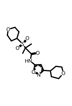 CC(C)(C(=O)Nc1cc(C2CCOCC2)no1)S(=O)(=O)C1CCOCC1